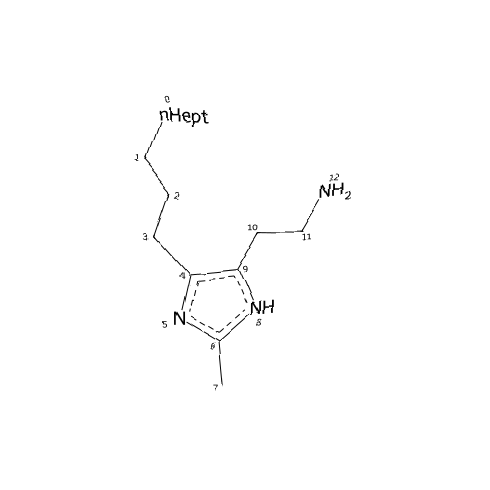 CCCCCCCCCCc1nc(C)[nH]c1CCN